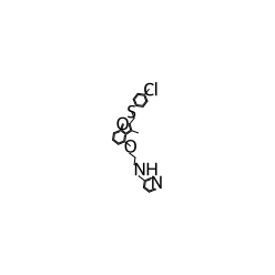 Cc1c(CSc2ccc(Cl)cc2)oc2cccc(OCCCNCc3cccnc3)c12